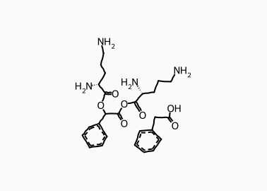 NCCC[C@@H](N)C(=O)OC(=O)C(OC(=O)[C@H](N)CCCN)c1ccccc1.O=C(O)Cc1ccccc1